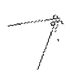 CCCCCCCCCCCCCCCCCCCCCCCCCCc1cccc(N=C(CCCC)C(CCCCCC)=Nc2cccc(CCCCCCCCCCCCCCCCCCCCCCCCCC)c2)c1.[Ni]